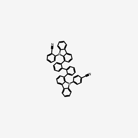 N#Cc1ccc(-n2c3ccccc3c3cccc(-c4ccccc4-c4ccccc4-c4cccc5c6ccccc6n(-c6ccccc6C#N)c45)c32)cc1